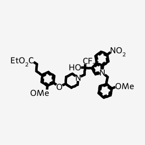 CCOC(=O)CCc1ccc(OC2CCN(CC(O)(c3cn(Cc4ccccc4OC)c4cc([N+](=O)[O-])ccc34)C(F)(F)F)CC2)c(OC)c1